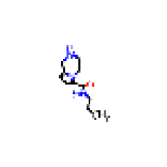 CCCNC(=O)c1ccc2n1CCNC2